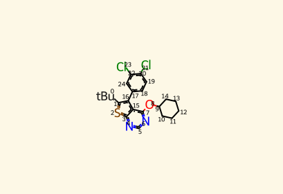 CC(C)(C)c1sc2ncnc(OC3CCCCC3)c2c1-c1ccc(Cl)c(Cl)c1